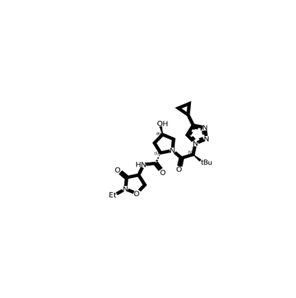 CCN1OCC(NC(=O)[C@@H]2C[C@@H](O)CN2C(=O)[C@@H](n2cc(C3CC3)nn2)C(C)(C)C)C1=O